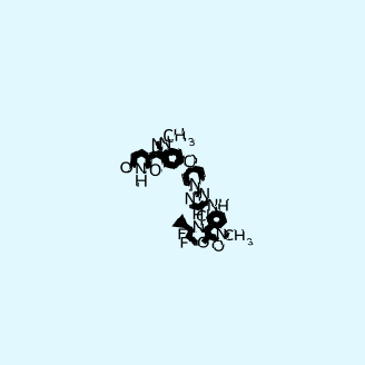 Cn1nc(C2CCC(=O)NC2=O)c2ccc(OC3CCN(c4ncc(Cl)c(Nc5ccc6c(c5)c5c(c(=O)n6C)OCC(F)(F)C(C6CC6)N5)n4)CC3)cc21